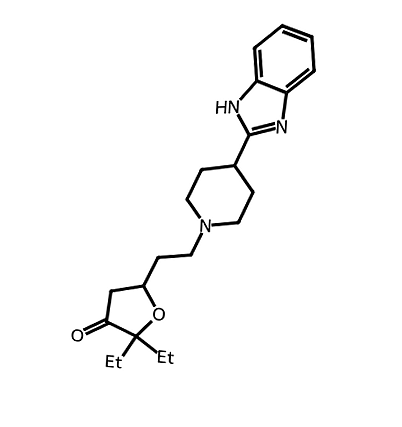 CCC1(CC)OC(CCN2CCC(c3nc4ccccc4[nH]3)CC2)CC1=O